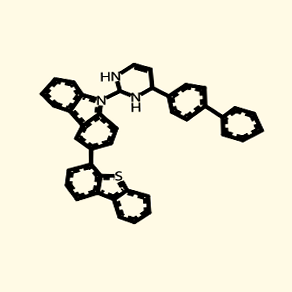 C1=CC(c2ccc(-c3ccccc3)cc2)NC(n2c3ccccc3c3cc(-c4cccc5c4sc4ccccc45)ccc32)N1